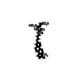 CC12CCC3c4ccc(OCCCOP(=O)(O)N[C@@H](CCC(=O)O)C(=O)O)cc4CCC3C1CCC2=O